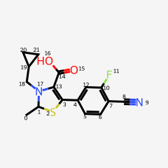 CC1SC(c2ccc(C#N)c(F)c2)=C(C(=O)O)N1CC1CC1